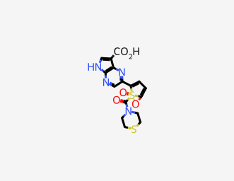 O=C(O)c1c[nH]c2ncc(C3=CC=C4OS43(=O)C(=O)N3CCSCC3)nc12